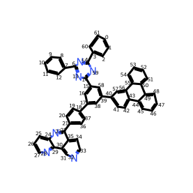 c1ccc(-c2nc(-c3ccccc3)nc(-c3cc(-c4ccc(-c5nc6cccnc6c6cnccc56)cc4)cc(-c4ccc5c6ccccc6c6ccccc6c5c4)c3)n2)cc1